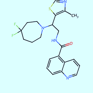 Cc1ncsc1C(CNC(=O)c1cccc2ncccc12)N1CCCC(F)(F)CC1